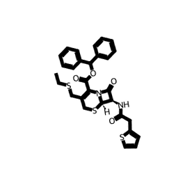 CCSCC1=C(C(=O)OC(c2ccccc2)c2ccccc2)N2C(=O)[C@@H](NC(=O)Cc3cccs3)[C@H]2SC1